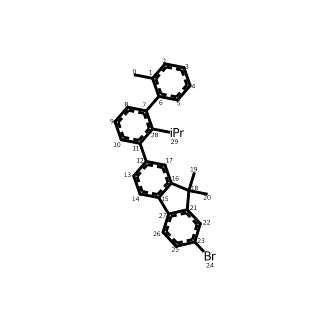 Cc1ccccc1-c1cccc(-c2ccc3c(c2)C(C)(C)c2cc(Br)ccc2-3)c1C(C)C